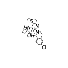 C[C@@H]1c2ccc(Cl)cc2CCN1c1nc2c(c(NC3(CO)CCC3)n1)[S+]([O-])CC2